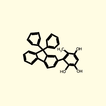 Cc1c(O)cc(O)c(O)c1-c1ccc2c(c1)C(c1ccccc1)(c1ccccc1)c1ccccc1-2